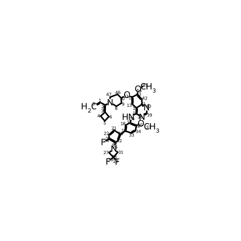 C=CC(=C1CCC1)N1CCC(Oc2cc3c(Nc4cc(-c5ccc(F)c(N6CC(F)(F)C6)c5)ccc4OC)ncnc3cc2OC)CC1